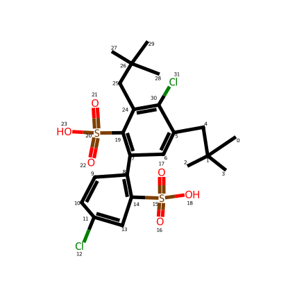 CC(C)(C)Cc1cc(-c2ccc(Cl)cc2S(=O)(=O)O)c(S(=O)(=O)O)c(CC(C)(C)C)c1Cl